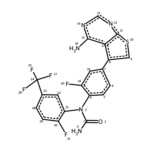 NC(=O)N(c1ccc(-c2csc3ncnc(N)c23)cc1F)c1cc(C(F)(F)F)ccc1F